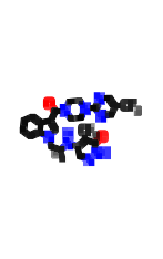 C[C@@H](Cn1cc(C(=O)N2CCN(c3ncc(C(F)(F)F)cn3)CC2)c2ccccc21)Nc1cn[nH]c(=O)c1C(F)(F)F